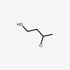 CC(Cl)CCO